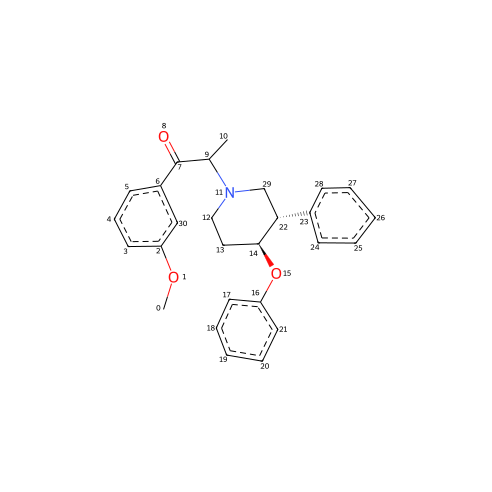 COc1cccc(C(=O)C(C)N2CC[C@H](Oc3ccccc3)[C@@H](c3ccccc3)C2)c1